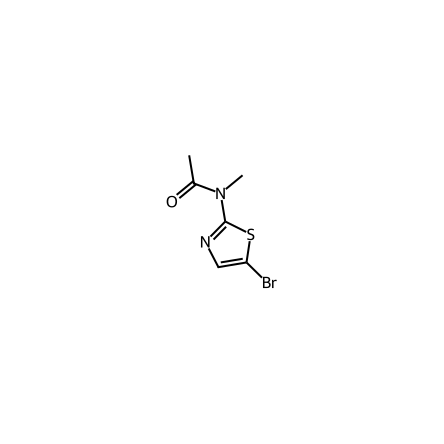 CC(=O)N(C)c1ncc(Br)s1